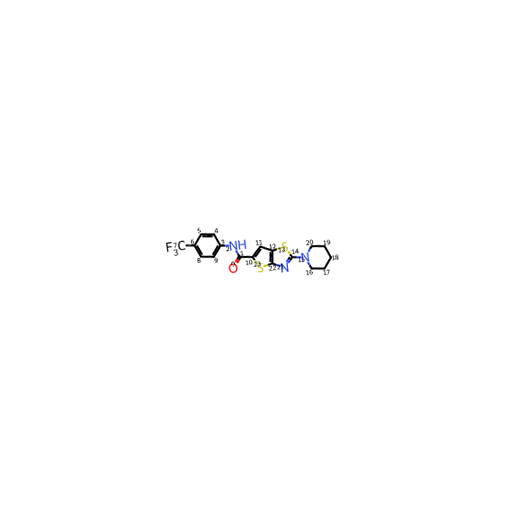 O=C(Nc1ccc(C(F)(F)F)cc1)c1cc2sc(N3CCCCC3)nc2s1